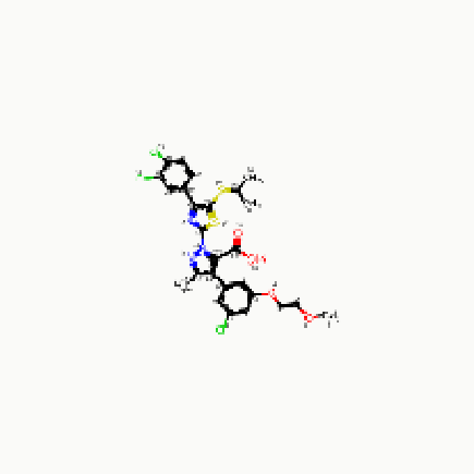 COCCOc1cc(Cl)cc(-c2c(C)nn(-c3nc(-c4ccc(Cl)c(Cl)c4)c(SC(C)C)s3)c2C(=O)O)c1